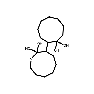 OC1(O)CCCCCCCC1C1CCCCCCSC1(O)O